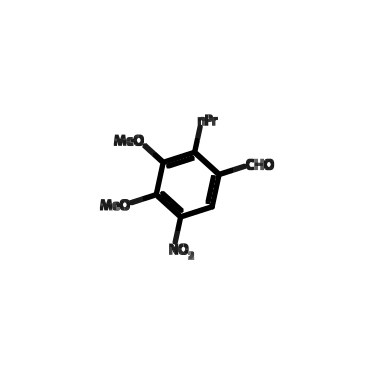 CCCc1c(C=O)cc([N+](=O)[O-])c(OC)c1OC